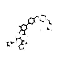 O=C(CN1CCN(Cc2ccc(-c3cc(F)c4c(c3)C(=O)N(C(C(=O)Nc3nccs3)c3ncn5c3CCC5)C4)cc2)CC1)OC(=O)C(F)(F)F